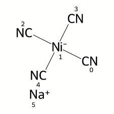 N#[C][Ni-]([C]#N)([C]#N)[C]#N.[Na+]